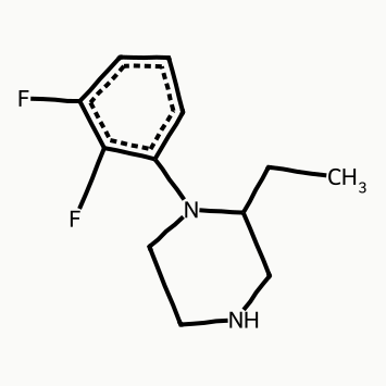 CCC1CNCCN1c1cccc(F)c1F